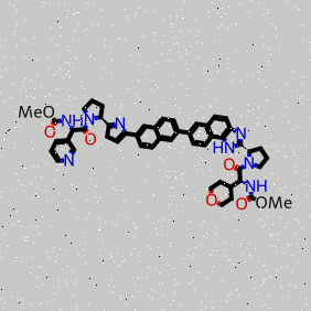 COC(=O)NC(C(=O)N1CCC[C@H]1C1=NC(c2ccc3cc(-c4ccc5c(ccc6nc([C@@H]7CCCN7C(=O)[C@@H](NC(=O)OC)C7CCOCC7)[nH]c65)c4)ccc3c2)=CC1)c1cccnc1